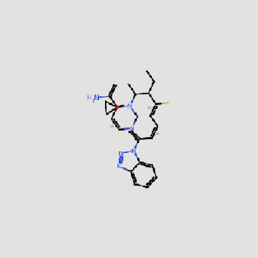 C=C(N)C(C)/C=C\N(C)CN(C1CC1)C(C)C(CC)/C(F)=C/C=C\C(=C)n1nnc2ccccc21